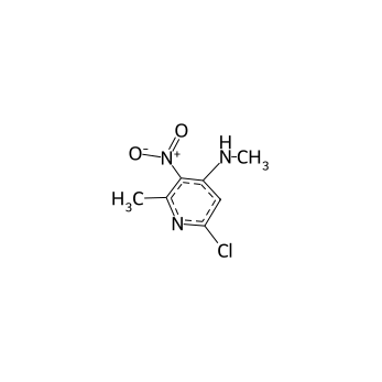 CNc1cc(Cl)nc(C)c1[N+](=O)[O-]